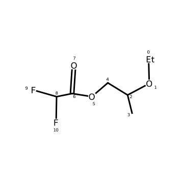 CCOC(C)COC(=O)C(F)F